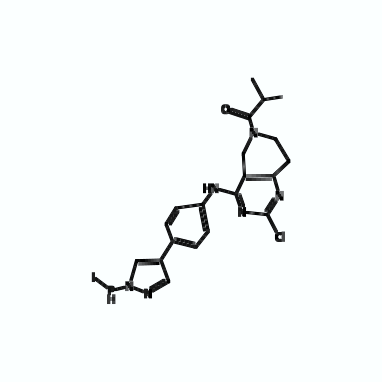 CC(C)C(=O)N1CCc2nc(Cl)nc(Nc3ccc(-c4cnn(PI)c4)cc3)c2C1